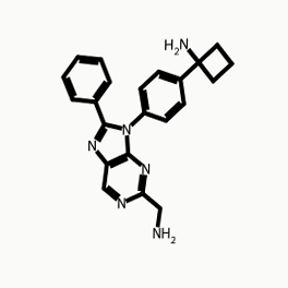 NCc1ncc2nc(-c3ccccc3)n(-c3ccc(C4(N)CCC4)cc3)c2n1